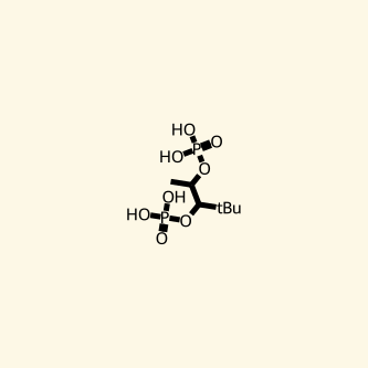 CC(OP(=O)(O)O)C(OP(=O)(O)O)C(C)(C)C